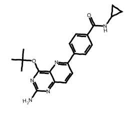 CC(C)(C)Oc1nc(N)nc2ccc(-c3ccc(C(=O)NC4CC4)cc3)nc12